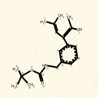 CC(C)=C/C(=C(\C)O)c1cccc(CNC(=O)OC(C)(C)C)c1